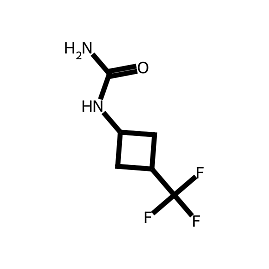 NC(=O)NC1CC(C(F)(F)F)C1